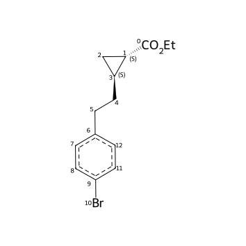 CCOC(=O)[C@H]1C[C@@H]1CCc1ccc(Br)cc1